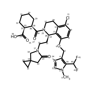 Cn1nnc(COc2ccc(Cl)c3c2[C@@H](CCN2CC4(CC4)CC2=O)N(C(=O)[C@@H]2CCCC[C@@H]2C(=O)O)CC3)c1C(F)F